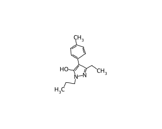 CCCn1nc(CC)c(-c2ccc(C)cc2)c1O